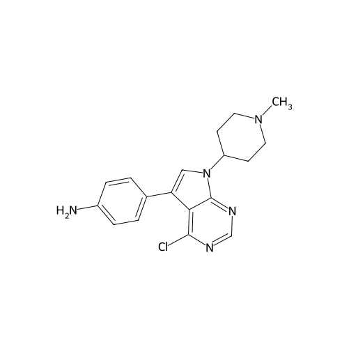 CN1CCC(n2cc(-c3ccc(N)cc3)c3c(Cl)ncnc32)CC1